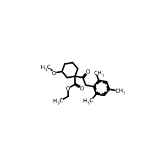 CCOC(=O)C1(C(=O)Cc2c(C)cc(C)cc2C)CCCC(OC)C1